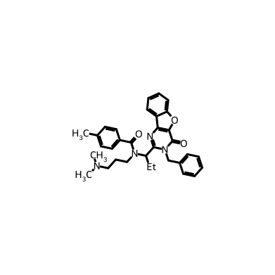 CCC(c1nc2c(oc3ccccc32)c(=O)n1Cc1ccccc1)N(CCCN(C)C)C(=O)c1ccc(C)cc1